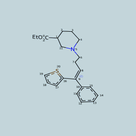 CCOC(=O)C1CCCN(CC/C=C(/c2ccccc2)c2cccs2)C1